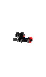 C=c1cc2c(cc1C(C)CC(C)(C)C)=C(c1ccc(S(=O)(=O)O)cc1S(=O)(=O)O)c1cc3c(cc1O2)N(CCCCCC(=O)ON1C(=O)CCC1=O)C(C)(C)CC3C